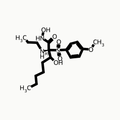 CCCCCC(O)[C@](NCCC)(C(=O)NO)S(=O)(=O)c1ccc(OC)cc1